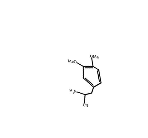 COc1ccc(CC(N)C#N)cc1OC